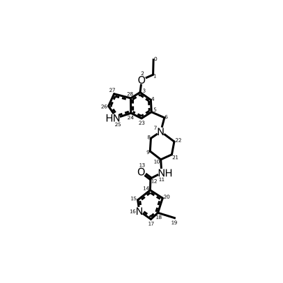 CCOc1cc(CN2CCC(NC(=O)c3cncc(C)c3)CC2)cc2[nH]ccc12